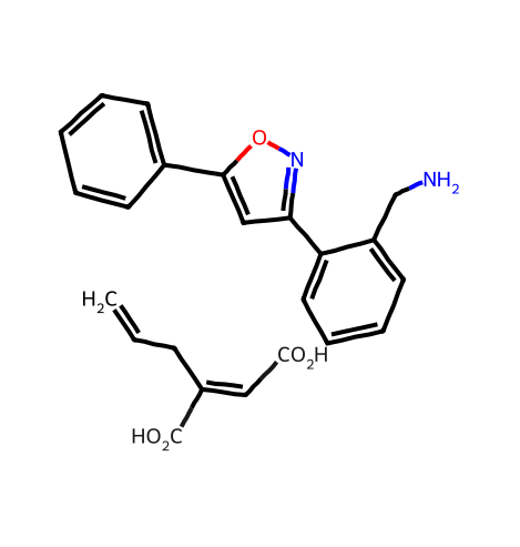 C=CC/C(=C\C(=O)O)C(=O)O.NCc1ccccc1-c1cc(-c2ccccc2)on1